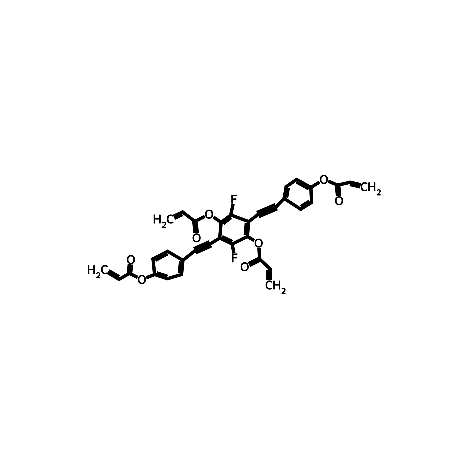 C=CC(=O)Oc1ccc(C#Cc2c(F)c(OC(=O)C=C)c(C#Cc3ccc(OC(=O)C=C)cc3)c(F)c2OC(=O)C=C)cc1